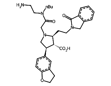 CCCCN(CCN)C(=O)CN1C[C@H](c2ccc3c(c2)CCO3)[C@@H](C(=O)O)[C@@H]1CCN1Cc2ccccc2C1=O